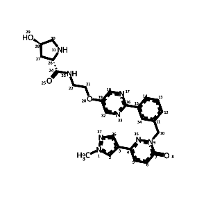 Cn1cc(-c2ccc(=O)n(Cc3cccc(-c4ncc(OCCNC(=O)[C@@H]5C[C@@H](O)CN5)cn4)c3)n2)cn1